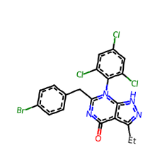 CCc1n[nH]c2c1c(=O)nc(Cc1ccc(Br)cc1)n2-c1c(Cl)cc(Cl)cc1Cl